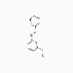 ClCc1cccc(SCc2ccccc2)c1